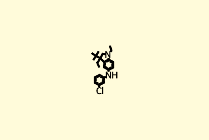 CCN1CC(CC)(C(C)(C)C)c2cc(Nc3cccc(Cl)c3)ccc21